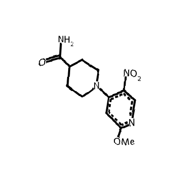 COc1cc(N2CCC(C(N)=O)CC2)c([N+](=O)[O-])cn1